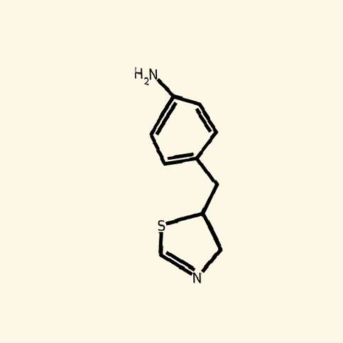 Nc1ccc(CC2CN=CS2)cc1